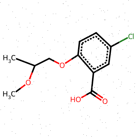 COC(C)COc1ccc(Cl)cc1C(=O)O